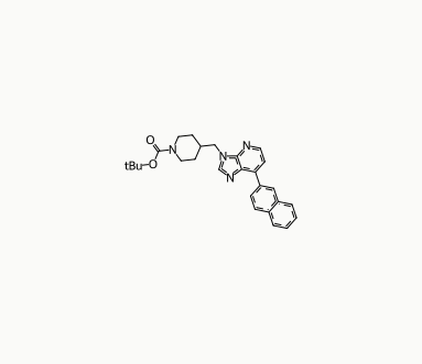 CC(C)(C)OC(=O)N1CCC(Cn2cnc3c(-c4ccc5ccccc5c4)ccnc32)CC1